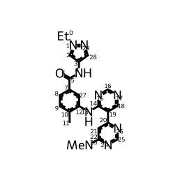 CCn1cc(NC(=O)c2ccc(C)c(Nc3ncncc3-c3cc(NC)ncn3)c2)cn1